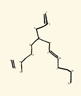 C=C.C=CCC(CC=CCCC)CCCC